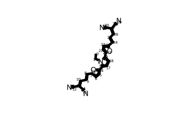 CCn1c(-c2ccc(/C=C/C=C(C#N)C#N)o2)ccc1-c1ccc(/C=C/C=C(C#N)C#N)o1